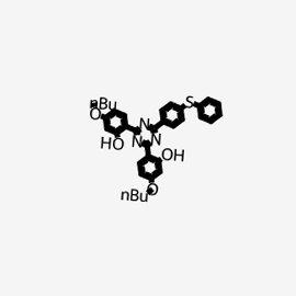 CCCCOc1ccc(-c2nc(-c3ccc(Sc4ccccc4)cc3)nc(-c3ccc(OCCCC)cc3O)n2)c(O)c1